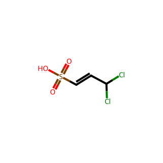 O=S(=O)(O)C=CC(Cl)Cl